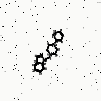 c1ccc(N2CCN(Cn3ncc4ccccc43)CC2)nc1